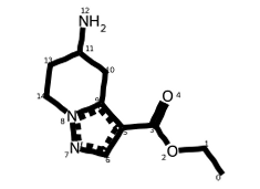 CCOC(=O)c1cnn2c1CC(N)CC2